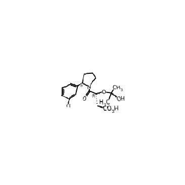 CC(C)(O)O[C@H](CC(=O)O)C(=O)N1CCC[C@@H]1c1cccc(Cl)c1